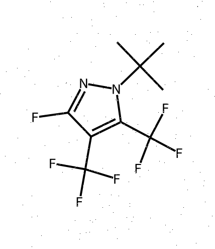 CC(C)(C)n1nc(F)c(C(F)(F)F)c1C(F)(F)F